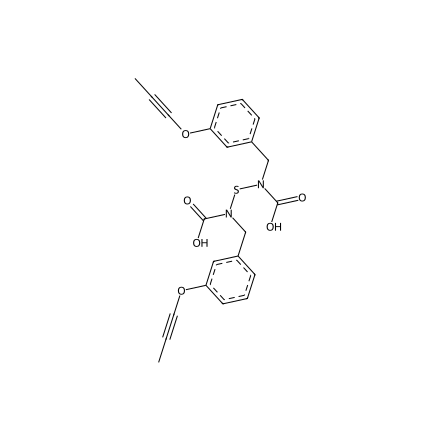 CC#COc1cccc(CN(SN(Cc2cccc(OC#CC)c2)C(=O)O)C(=O)O)c1